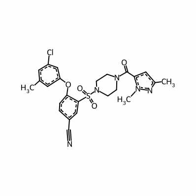 Cc1cc(Cl)cc(Oc2ccc(C#N)cc2S(=O)(=O)N2CCN(C(=O)c3cc(C)nn3C)CC2)c1